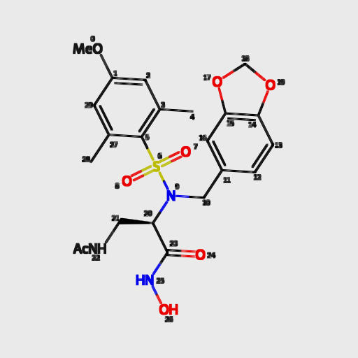 COc1cc(C)c(S(=O)(=O)N(Cc2ccc3c(c2)OCO3)[C@H](CNC(C)=O)C(=O)NO)c(C)c1